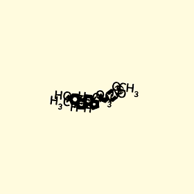 C[C@@]1(O)CC[C@H]2[C@H](CC[C@@H]3[C@@H]2CC[C@]2(C)[C@H](C(=O)CN4CCN(S(C)(=O)=O)CC4)CC[C@@H]32)C1